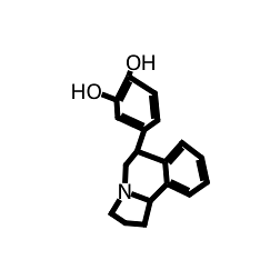 Oc1ccc(C2CN3CCCC3c3ccccc32)cc1O